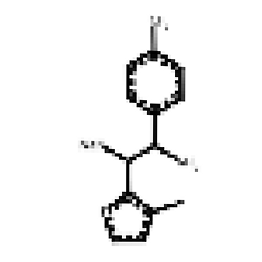 CNC(c1sccc1C)C(N)c1ccc(C(F)(F)F)cc1